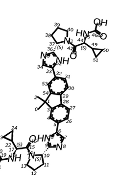 CC1(C)c2cc(-c3cnc([C@@H]4CCCN4C(=O)[C@@H](NC(=O)O)C4CC4)[nH]3)ccc2-c2ccc(-c3cnc([C@@H]4CCCN4C(=O)[C@@H](NC(=O)O)C4CC4)[nH]3)cc21